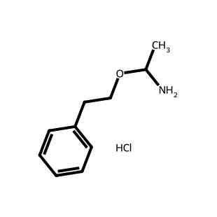 CC(N)OCCc1ccccc1.Cl